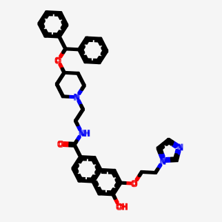 O=C(NCCN1CCC(OC(c2ccccc2)c2ccccc2)CC1)c1ccc2cc(O)c(OCCn3ccnc3)cc2c1